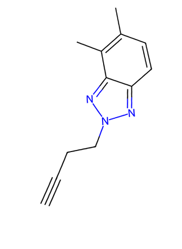 C#CCCn1nc2ccc(C)c(C)c2n1